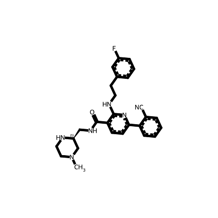 CN1CCN[C@@H](CNC(=O)c2ccc(-c3ccccc3C#N)nc2NCCc2cccc(F)c2)C1